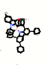 CC(C)(C)c1ccc2c(c1)c1cc(C(C)(C)C)cc3c1n2-c1ccccc1B3n1c2c(-c3ccccc3)cc(-c3ccccc3)cc2c2cc(-c3ccccc3)cc(-c3ccccc3)c21